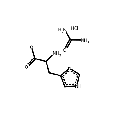 Cl.NC(Cc1c[nH]cn1)C(=O)O.NC(N)=O